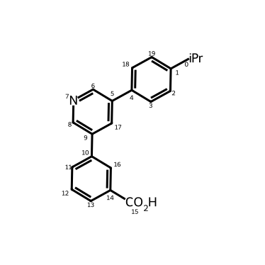 CC(C)c1ccc(-c2cncc(-c3cccc(C(=O)O)c3)c2)cc1